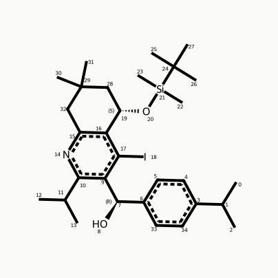 CC(C)c1ccc([C@@H](O)c2c(C(C)C)nc3c(c2I)[C@@H](O[Si](C)(C)C(C)(C)C)CC(C)(C)C3)cc1